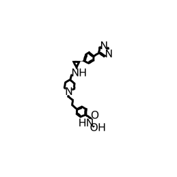 O=C(NO)c1ccc(CCCN2CCC(CN[C@H]3C[C@@H]3c3ccc(-c4cncnc4)cc3)CC2)cc1